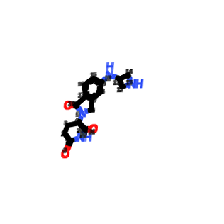 O=C1CCC(N2Cc3cc(NC4CNC4)ccc3C2=O)C(=O)N1